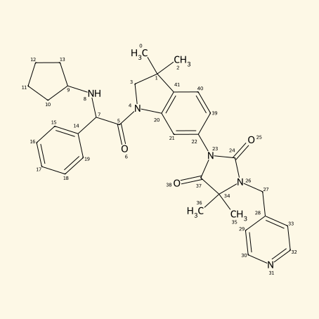 CC1(C)CN(C(=O)C(NC2CCCC2)c2ccccc2)c2cc(N3C(=O)N(Cc4ccncc4)C(C)(C)C3=O)ccc21